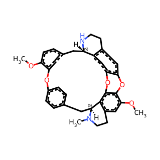 COc1ccc2cc1Oc1ccc(cc1)C[C@H]1c3c(cc(OC)c4c3Oc3cc5c(cc3O4)CCN[C@H]5C2)CCN1C